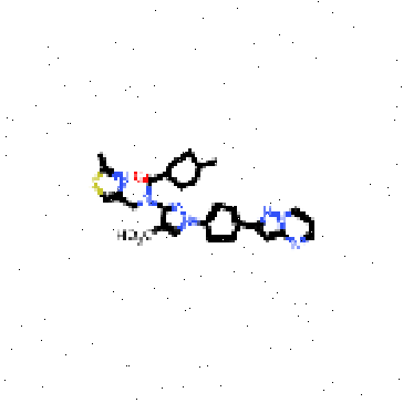 Cc1nc(CN(C(=O)C2CCC(C)CC2)c2nn(-c3ccc(-c4cc5ncccn5n4)cc3)cc2C(=O)O)cs1